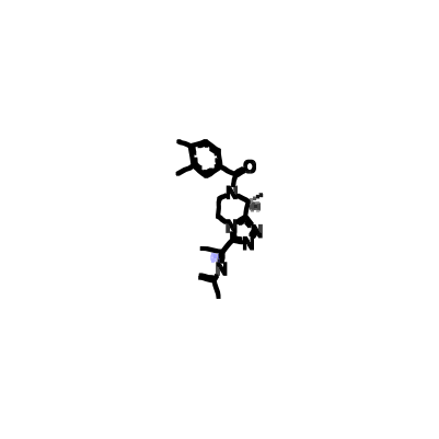 C=C(C)/N=C(\C)c1nnc2n1CCN(C(=O)c1ccc(C)c(C)c1)[C@@H]2C